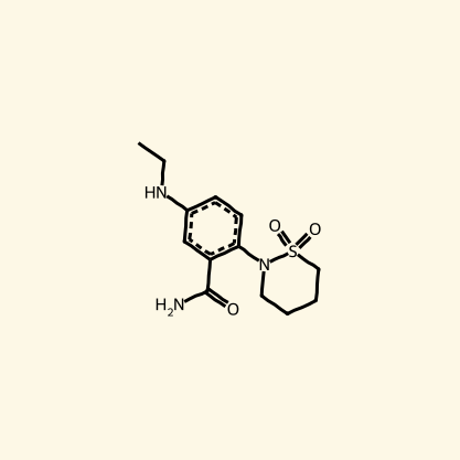 CCNc1ccc(N2CCCCS2(=O)=O)c(C(N)=O)c1